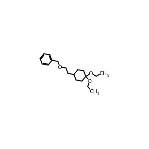 CCOC1(OCC)CCC(CCOCc2ccccc2)CC1